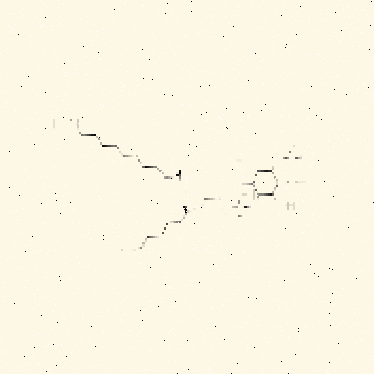 CCCCCCCCCCCCCCCC(=O)O[C@H](COC(=O)CCCCCCCCCN)COP(=O)(O)OC1C(O)[C@@H](O)C(OP(=O)(O)O)[C@@H](O)[C@H]1O